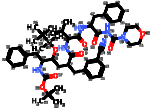 CC(C)C(NC(=O)C(Cc1cccc(C#N)c1)CC(O[Si](C)(C)C(C)(C)C)C(Cc1ccccc1)NC(=O)OC(C)(C)C)C(=O)NC(Cc1ccccc1)C(=O)NC(=O)N1CCOCC1